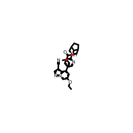 C=CC(C)C(=O)NC1C2CCC1CN(c1ccc(-c3cc(OCC)cn4ncc(C#N)c34)cn1)C2